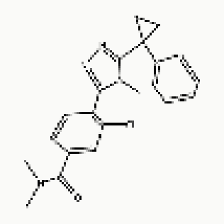 CN(C)C(=O)c1ccc(-c2nnc(C3(c4ccccc4)CC3)n2C)c(Cl)c1